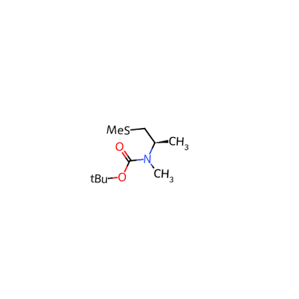 CSC[C@@H](C)N(C)C(=O)OC(C)(C)C